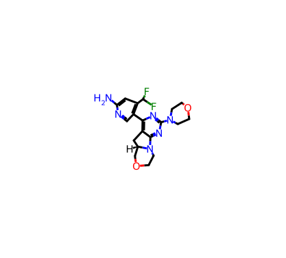 Nc1cc(C(F)F)c(-c2nc(N3CCOCC3)nc3c2C[C@H]2COCCN32)cn1